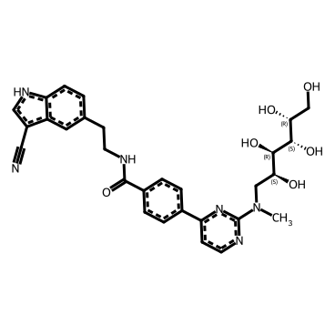 CN(C[C@H](O)[C@@H](O)[C@@H](O)[C@H](O)CO)c1nccc(-c2ccc(C(=O)NCCc3ccc4[nH]cc(C#N)c4c3)cc2)n1